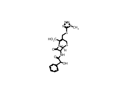 Cn1nnnc1SCC1=C(C(=O)O)N2C(=O)C(NC(=O)C(O)c3ccccc3)[C@@H]2SC1